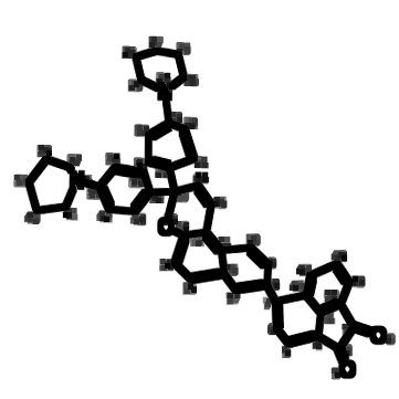 O=C1C(=O)c2ccc(-c3ccc4c5c(ccc4c3)OC(c3ccc(N4CCCCC4)cc3)(c3ccc(N4CCCCC4)cc3)C=C5)c3cccc1c23